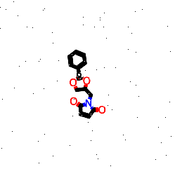 O=C1C=CC(=O)N1CC1COB(c2ccccc2)O1